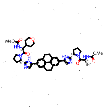 COC(=O)N[C@H](C(=O)N1CCC[C@H]1c1ncc(-c2cc3c4c(c2)CCc2cc(-c5cnc([C@@H]6CCCN6C(=O)[C@@H](NC(=O)OC)C6CCOCC6)[nH]5)cc(c2-4)CC3)[nH]1)C(C)C